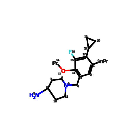 CCCc1cc(CN2CCC(N)CC2)c(OC(C)C)c(F)c1C1CC1